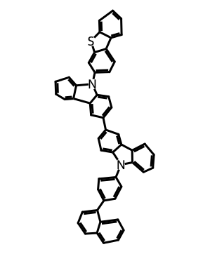 c1ccc2c(-c3ccc(-n4c5ccccc5c5cc(-c6ccc7c(c6)c6ccccc6n7-c6ccc7c(c6)sc6ccccc67)ccc54)cc3)cccc2c1